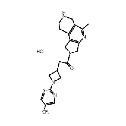 Cc1nc2c(c3c1CNCC3)CN(C(=O)CC1CN(c3ncc(C(F)(F)F)cn3)C1)C2.Cl